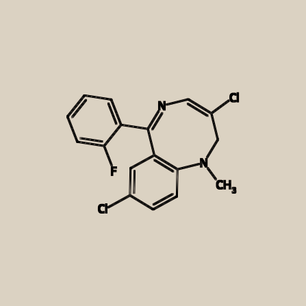 CN1C/C(Cl)=C\N=C(\c2ccccc2F)c2cc(Cl)ccc21